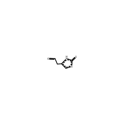 O=[C]Cc1csc(=S)[nH]1